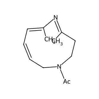 CC(=O)N1C\C=C/C=C(C)/N=C(\C)CC1